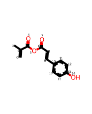 C=C(C)C(=O)OC(=O)/C=C/c1ccc(O)cc1